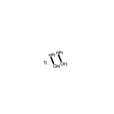 CCCO.CCCO.[Ti]